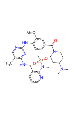 COc1cc(C(=O)N2CCC(N(C)C)CC2)ccc1Nc1ncc(C(F)(F)F)c(NCc2cccnc2N(C)S(C)(=O)=O)n1